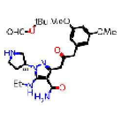 CC(C)(C)OC=O.CCNc1c(C(N)=O)c(CC(=O)Cc2cc(OC)cc(OC)c2)nn1[C@H]1CCNC1